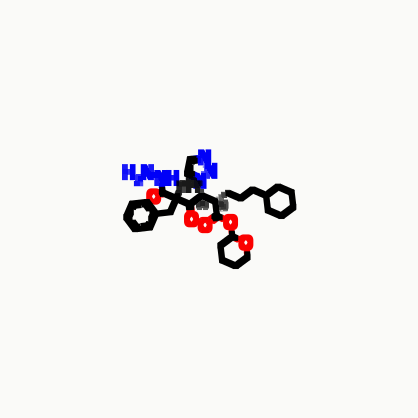 CCCC(Cc1ccccc1)(C(=O)NN)C(=O)[C@@H]([C@H](CCCC1CCCCC1)C(=O)OC1CCCCO1)n1ccnn1